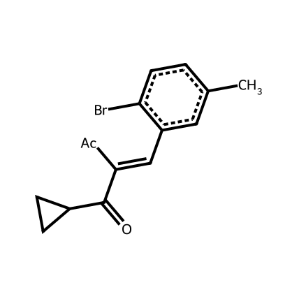 CC(=O)C(=Cc1cc(C)ccc1Br)C(=O)C1CC1